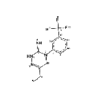 CCC1=NNC(=N)N(c2cccc(C(F)(F)F)c2)C1